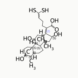 C[C@@H]1[C@H](O)CC[C@@]2(C)[C@H]1CC[C@@]1(C)[C@H]2[C@H](O)C[C@H]2/C(=C(\CCC=C(S)S)C(=O)O)[C@@H](O)C[C@@]21C